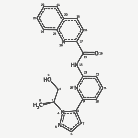 C[C@@H](CO)n1nccc1-c1cccc(NC(=O)c2ccc3ccccc3n2)n1